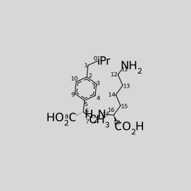 CC(C)Cc1ccc([C@H](C)C(=O)O)cc1.NCCCC[C@H](N)C(=O)O